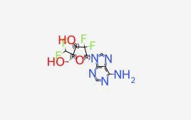 Nc1ncnc2c1ncn2[C@@H]1O[C@@](CO)(C(F)F)[C@@H](O)C1(F)F